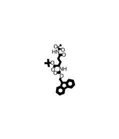 CC(C)(C)OC(=O)C(CCC(=O)NS(C)(=O)=O)NC(=O)OCC1c2ccccc2-c2ccccc21